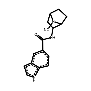 N#CN1C2CCC1C(NC(=O)c1ccc3[nH]ccc3c1)C2